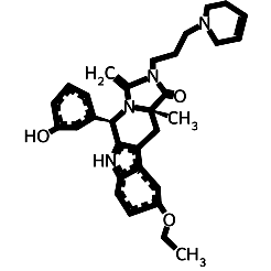 C=C1N(CCCN2CC=CCC2)C(=O)[C@]2(C)Cc3c([nH]c4ccc(OCC)cc34)[C@@H](c3cccc(O)c3)N12